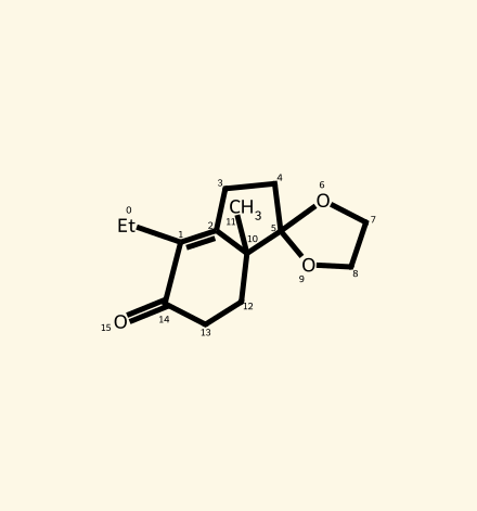 CCC1=C2CCC3(OCCO3)C2(C)CCC1=O